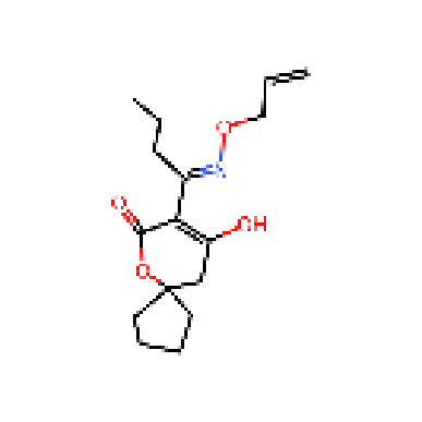 C=CCO/N=C(\CCC)C1=C(O)CC2(CCCC2)OC1=O